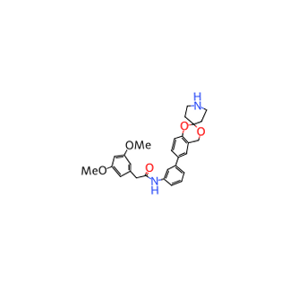 COc1cc(CC(=O)Nc2cccc(-c3ccc4c(c3)COC3(CCNCC3)O4)c2)cc(OC)c1